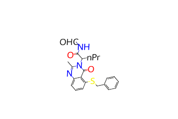 CCCC(C(=O)NC=O)n1c(C)nc2cccc(SCc3ccccc3)c2c1=O